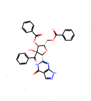 O=C(OC[C@@H]1O[C@H](c2nc3[nH]ncc3c(=O)[nH]2)[C@](O)(C(=O)c2ccccc2)[C@H]1OC(=O)c1ccccc1)c1ccccc1